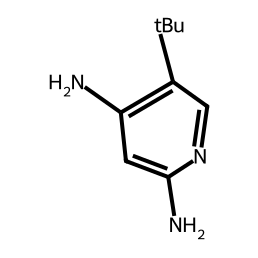 CC(C)(C)c1cnc(N)cc1N